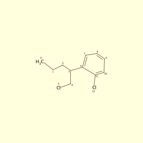 CCCC(CCl)c1ccccc1Cl